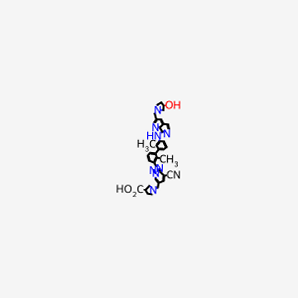 Cc1c(Nc2nccc3cc(CN4CC[C@@H](O)C4)cnc23)cccc1-c1cccc(-c2nc3c(C#N)cc(CN4CC[C@@H](C(=O)O)C4)cn3n2)c1C